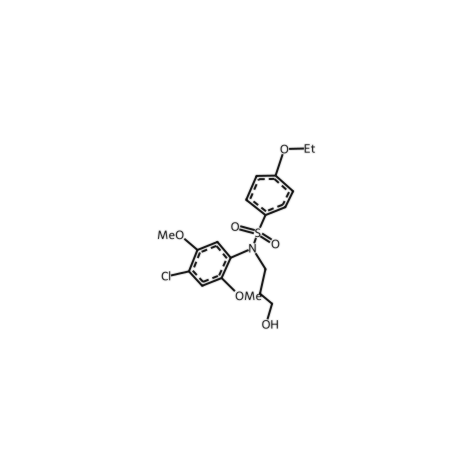 CCOc1ccc(S(=O)(=O)N(CCCO)c2cc(OC)c(Cl)cc2OC)cc1